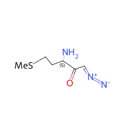 CSCC[C@H](N)C(=O)C=[N+]=[N-]